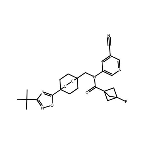 CC(C)(C)c1noc(C23CCC(CN(C(=O)C45CC(F)(C4)C5)c4cncc(C#N)c4)(CC2)CC3)n1